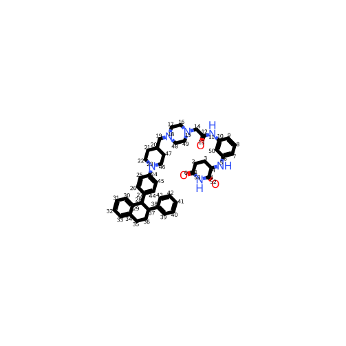 O=C1CCC(Nc2cccc(NC(=O)CN3CCN(CC4CCN(c5ccc(C6c7ccccc7CCC6c6ccccc6)cc5)CC4)CC3)c2)C(=O)N1